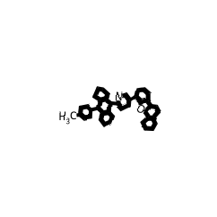 Cc1ccc(-c2c3ccccc3c(-c3ccc(-c4cccc5c4oc4c6ccccc6ccc54)cn3)c3ccccc23)cc1